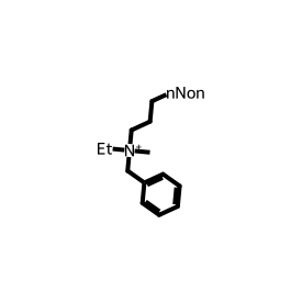 CCCCCCCCCCCC[N+](C)(CC)Cc1ccccc1